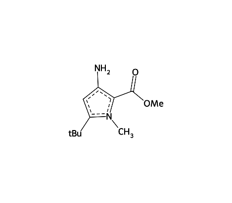 COC(=O)c1c(N)cc(C(C)(C)C)n1C